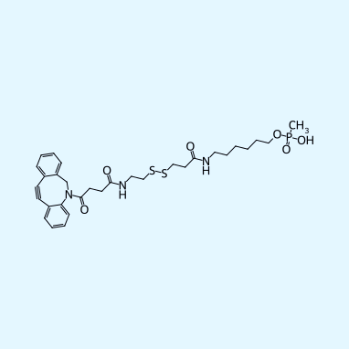 CP(=O)(O)OCCCCCCNC(=O)CCSSCCNC(=O)CCC(=O)N1Cc2ccccc2C#Cc2ccccc21